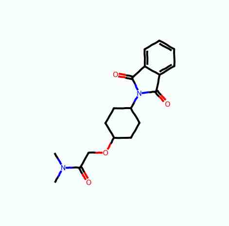 CN(C)C(=O)COC1CCC(N2C(=O)c3ccccc3C2=O)CC1